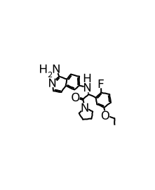 CCOc1ccc(F)c([C@@H](Nc2ccc3c(N)nccc3c2)C(=O)N2CCCC2)c1